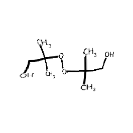 CC(C)(CO)OOC(C)(C)CO